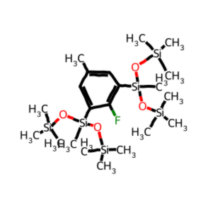 Cc1cc([Si](C)(O[Si](C)(C)C)O[Si](C)(C)C)c(F)c([Si](C)(O[Si](C)(C)C)O[Si](C)(C)C)c1